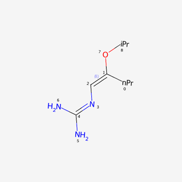 CCC/C(=C\N=C(N)N)OC(C)C